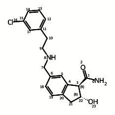 NC(=O)[C@@H]1c2cc(CNCCc3cccc(Cl)c3)ccc2C[C@H]1O